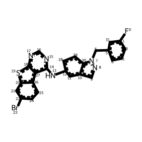 Fc1cccc(Cn2ncc3cc(Nc4ncnc5sc6cc(Br)ccc6c45)ccc32)c1